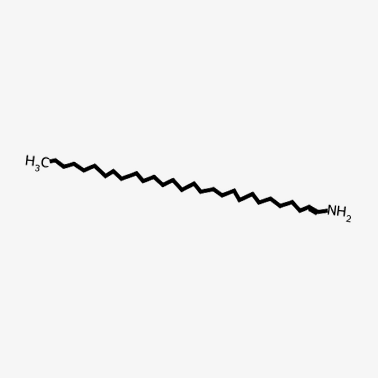 CCCCCCCCCCCCCCCCCCCCCCCCCCC/C=C/N